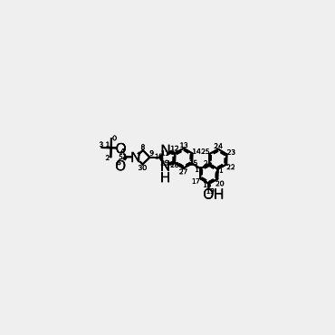 CC(C)(C)OC(=O)N1CC(c2nc3ccc(-c4cc(O)cc5ccccc45)cc3[nH]2)C1